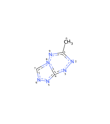 Cc1nnc2nncn2n1